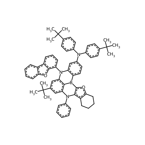 CC(C)(C)c1ccc(N(c2ccc(C(C)(C)C)cc2)c2ccc3c(c2)N(c2cccc4c2oc2ccccc24)c2cc(C(C)(C)C)cc4c2B3c2oc3c(c2N4c2ccccc2)CCCC3)cc1